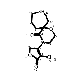 CC1=C(N2CCOC3(CCCNCC3)C2=O)COC1=O